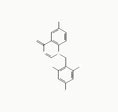 C=C1N=CN(Cc2c(F)cc(F)cc2F)c2ccc(O)cc21